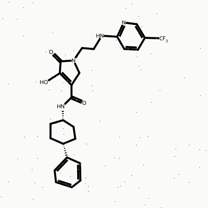 O=C(N[C@H]1CC[C@@H](c2ccccc2)CC1)C1=C(O)C(=O)N(CCNc2ccc(C(F)(F)F)cn2)C1